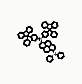 c1ccc(N(c2ccccc2)c2ccc3ccc4c(N(c5ccc(C6(c7ccccc7)c7ccccc7-c7ccccc76)cc5)c5ccc(C6(c7ccccc7)c7ccccc7-c7ccccc76)cc5)ccc5ccc2c3c54)cc1